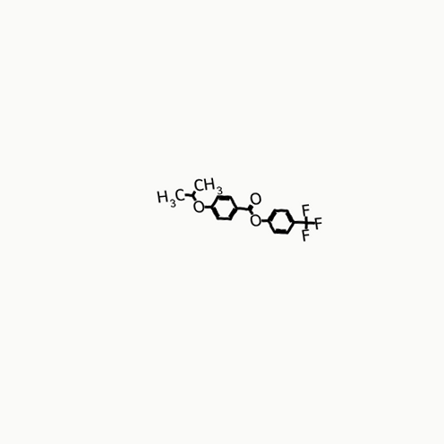 CC(C)Oc1ccc(C(=O)Oc2ccc(C(F)(F)F)cc2)cc1